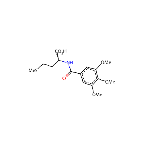 COc1cc(C(=O)N[C@@H](CCSC)C(=O)O)cc(OC)c1OC